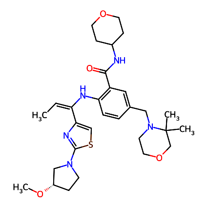 CC=C(Nc1ccc(CN2CCOCC2(C)C)cc1C(=O)NC1CCOCC1)c1csc(N2CC[C@H](OC)C2)n1